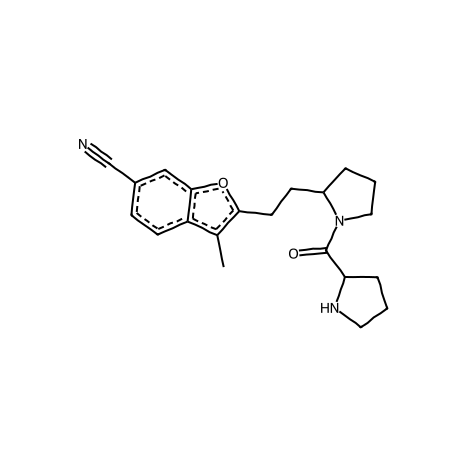 Cc1c(CCC2CCCN2C(=O)C2CCCN2)oc2cc(C#N)ccc12